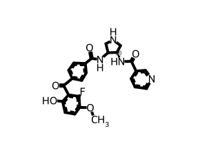 COc1ccc(O)c(C(=O)c2ccc(C(=O)NC3CNC[C@H]3NC(=O)c3cccnc3)cc2)c1F